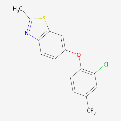 Cc1nc2ccc(Oc3ccc(C(F)(F)F)cc3Cl)cc2s1